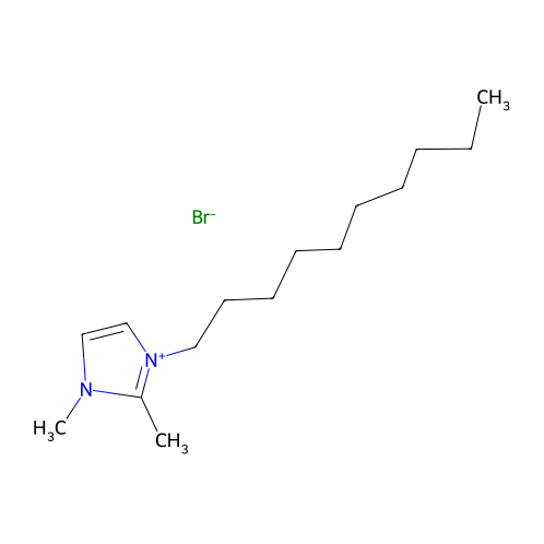 CCCCCCCCCC[n+]1ccn(C)c1C.[Br-]